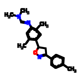 Cc1ccc(C2=NOC(c3cc(C)c(N=CN(C)C)cc3C)C2)cc1